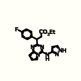 CCOC(=O)CC(c1ccc(F)cc1)c1nc(Nc2cc[nH]n2)n2cccc2n1